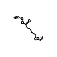 CCCOOC(=O)CCCCC(=O)O